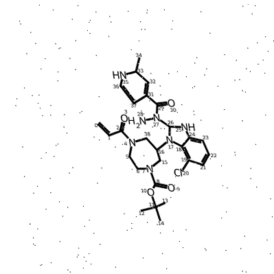 C=CC(=O)N1CCN(C(=O)OC(C)(C)C)CC(N2c3c(Cl)cccc3NC2N(N)C(=O)C2=CC(C)NC=C2)C1